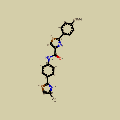 CNc1ccc(-c2nc(C(=O)Nc3ccc(-c4nc(C(C)=O)cs4)cc3)cs2)cc1